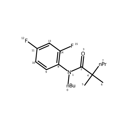 CCCCN(C(=O)C(C)(C)CCC)c1ccc(F)[c]c1F